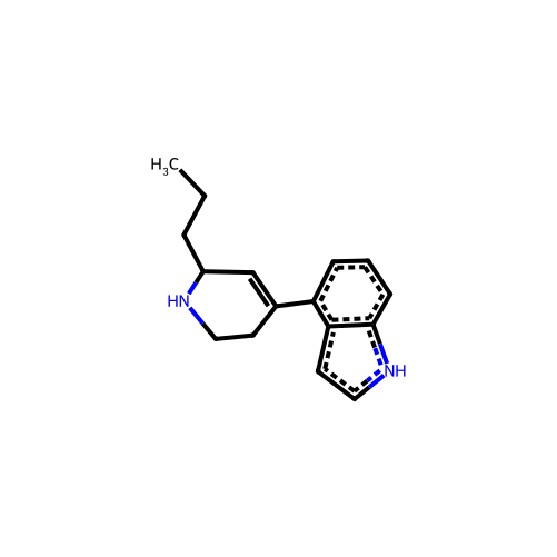 CCCC1C=C(c2cccc3[nH]ccc23)CCN1